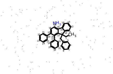 CCC1(Cc2ccccc2)c2ccccc2-c2ccc(-c3ccccc3)c(-c3ccccc3)c21.N